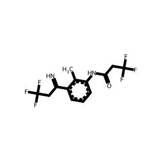 Cc1c(NC(=O)CC(F)(F)F)cccc1C(=N)CC(F)(F)F